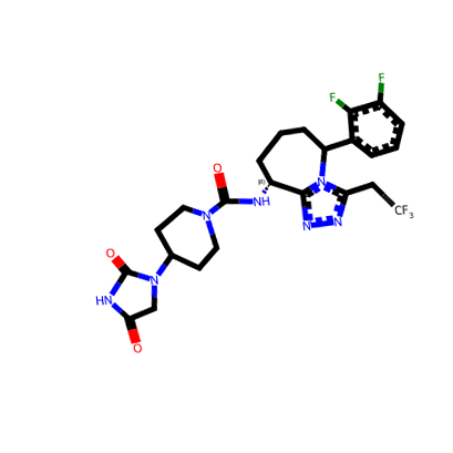 O=C1CN(C2CCN(C(=O)N[C@@H]3CCCC(c4cccc(F)c4F)n4c(CC(F)(F)F)nnc43)CC2)C(=O)N1